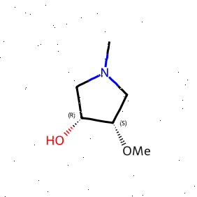 CO[C@H]1CN(C)C[C@H]1O